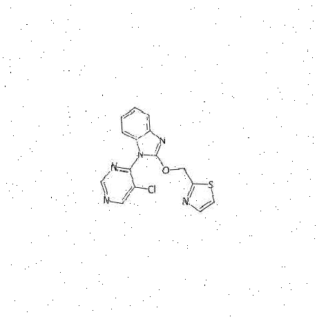 Clc1cncnc1-n1c(OCc2nccs2)nc2ccccc21